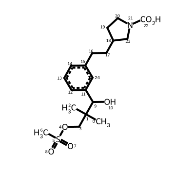 CC(C)(COS(C)(=O)=O)C(O)c1cccc(CCC2CCN(C(=O)O)C2)c1